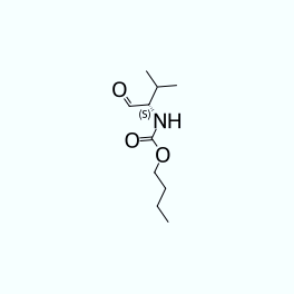 CCCCOC(=O)N[C@H](C=O)C(C)C